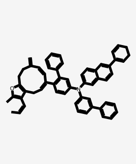 C=C1/C=C\C(c2ccc(N(c3cccc(-c4ccccc4)c3)c3ccc4cc(C5=CCCC=C5)ccc4c3)cc2-c2ccccc2)=C/Cc2c(oc(C)c2/C=C\C)CC1